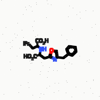 CC(C)C[C@H](N[C@@H](Cc1nc(Cc2ccccc2)co1)C(=O)O)C(=O)O